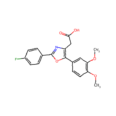 COc1ccc(-c2oc(-c3ccc(F)cc3)nc2CC(=O)O)cc1OC